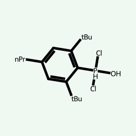 CCCc1cc(C(C)(C)C)c([PH](O)(Cl)Cl)c(C(C)(C)C)c1